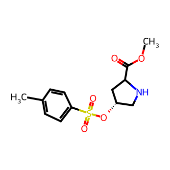 COC(=O)C1C[C@@H](OS(=O)(=O)c2ccc(C)cc2)CN1